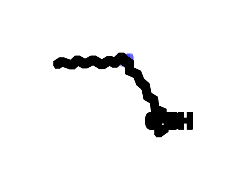 CCCCCCCCC/C=C\CCCCCCCCP(=O)(O)CC